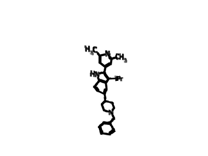 Cc1cc(-c2[nH]c3ccc(C4CCN(Cc5ccccc5)CC4)cc3c2C(C)C)cc(C)n1